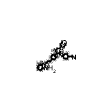 CN(CCN1CCOCC1)C(C(=O)Nc1ccc(C#N)cc1)c1ccc(C=CC(=O)Nc2ccccc2N)cc1